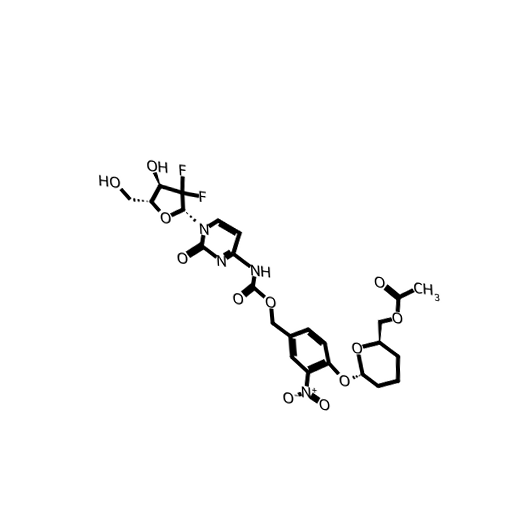 CC(=O)OC[C@H]1CCC[C@H](Oc2ccc(COC(=O)Nc3ccn([C@@H]4O[C@H](CO)[C@@H](O)C4(F)F)c(=O)n3)cc2[N+](=O)[O-])O1